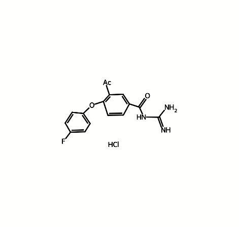 CC(=O)c1cc(C(=O)NC(=N)N)ccc1Oc1ccc(F)cc1.Cl